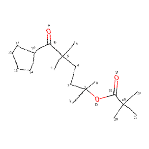 CC(C)(CCC(C)(C)C(=O)C1CCCC1)OC(=O)C(C)(C)C